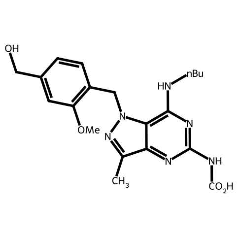 CCCCNc1nc(NC(=O)O)nc2c(C)nn(Cc3ccc(CO)cc3OC)c12